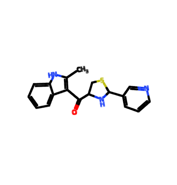 Cc1[nH]c2ccccc2c1C(=O)C1CSC(c2cccnc2)N1